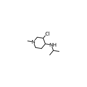 CC(C)NC1CCN(C)CC1Cl